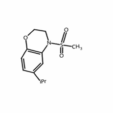 CC(C)c1ccc2c(c1)N(S(C)(=O)=O)CCO2